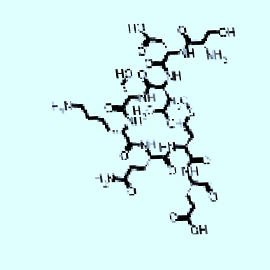 CSCC[C@H](NC(=O)[C@H](CCC(N)=O)NC(=O)[C@H](CCCCN)NC(=O)[C@H](CO)NC(=O)[C@H](CC(C)C)NC(=O)[C@H](CC(=O)O)NC(=O)[C@@H](N)CO)C(=O)N[C@H]([C]=O)CCC(=O)O